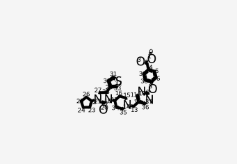 COC(=O)c1ccc(Oc2ncc(CN3CCC(N4C(=O)N(C5CCCC5)CC4c4ccsc4)CC3)cn2)cc1